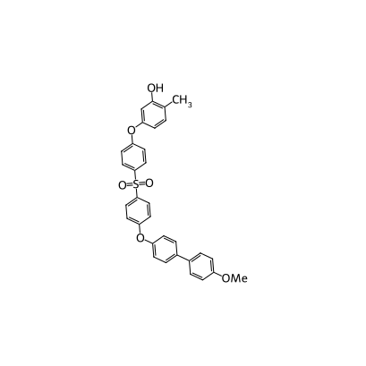 COc1ccc(-c2ccc(Oc3ccc(S(=O)(=O)c4ccc(Oc5ccc(C)c(O)c5)cc4)cc3)cc2)cc1